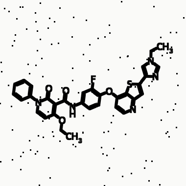 CCOc1ccn(-c2ccccc2)c(=O)c1C(=O)Nc1ccc(Oc2ccnc3cc(-c4cn(CC)cn4)sc23)c(F)c1